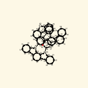 c1ccc(-c2ccc(-n3c4ccccc4c4ccc5c6ccccc6n(-c6nc(-c7ccccc7)nc(-c7cccc8oc9cccc(-c%10ccccc%10-c%10ccccc%10)c9c78)n6)c5c43)cc2)cc1